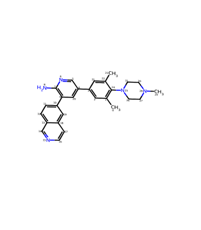 Cc1cc(-c2cnc(N)c(-c3ccc4cnccc4c3)c2)cc(C)c1N1CCN(C)CC1